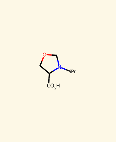 CC(C)N1COCC1C(=O)O